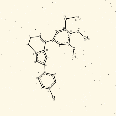 COc1cc(C2=NCCn3cc(-c4ccc(Cl)cc4)cc32)cc(OC)c1OC